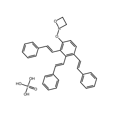 C(=Cc1ccc(ON2CCO2)c(C=Cc2ccccc2)c1C=Cc1ccccc1)c1ccccc1.O=P(O)(O)O